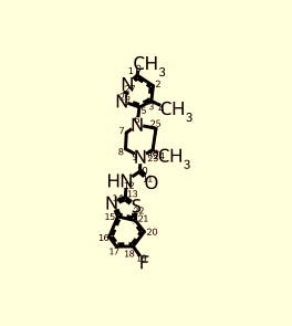 Cc1cc(C)c(N2CCN(C(=O)Nc3nc4ccc(F)cc4s3)[C@H](C)C2)nn1